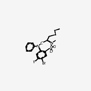 CCCCC1CN(c2ccccc2)c2cc(F)c(Br)cc2S(=O)(=O)N1C